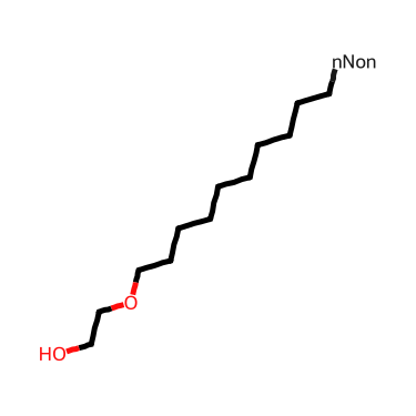 CCCCCCCCCCCCCCCCCCCOCCO